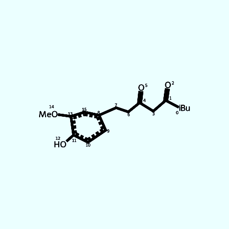 CCC(C)C(=O)CC(=O)CCc1ccc(O)c(OC)c1